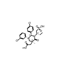 CC[C@@H](CS(=O)(=O)O)N1C(=O)[C@@](C)(CC(=O)OC)C[C@H](c2cccc(Cl)c2)[C@H]1c1ccc(Cl)cc1